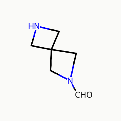 O=CN1CC2(CNC2)C1